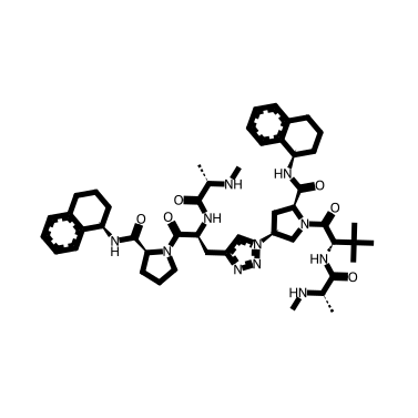 CN[C@@H](C)C(=O)N[C@@H](Cc1cn([C@H]2C[C@@H](C(=O)N[C@@H]3CCCc4ccccc43)N(C(=O)[C@@H](NC(=O)[C@H](C)NC)C(C)(C)C)C2)nn1)C(=O)N1CCC[C@H]1C(=O)N[C@@H]1CCCc2ccccc21